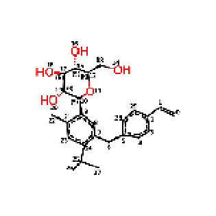 C=Cc1ccc(Cc2cc([C@@H]3O[C@H](CO)[C@@H](O)[C@H](O)[C@H]3O)c(C)cc2C(C)C)cc1